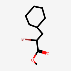 COC(=O)C(Br)CC1CCCCC1